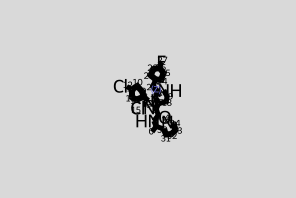 CC(NC(=O)c1nn(-c2ccc(Cl)cc2Cl)c2c1CCN/C2=C\c1ccc(F)cc1)c1ccccn1